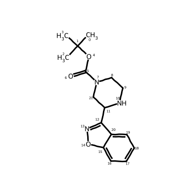 CC(C)(C)OC(=O)N1CCNC(c2noc3ccccc23)C1